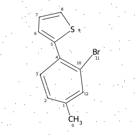 Cc1ccc(-c2cccs2)c(Br)c1